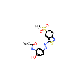 COC(=O)Nc1cc(N=Nc2snc3ccc(S(C)(=O)=O)cc23)ccc1O